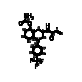 C=CC(=O)NC1Cc2c(OC(N)=O)cccc2N(c2ccc(C(F)(F)F)cc2)C1